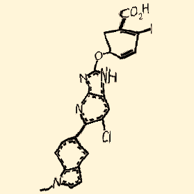 Cn1ccc2cc(-c3nc4nc(OC5C=CC(I)=C(C(=O)O)C5)[nH]c4cc3Cl)ccc21